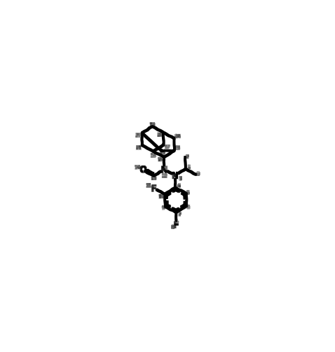 CC(C)N(c1ccc(F)cc1F)N(C=O)C1C2CC3CC(C2)CC1C3